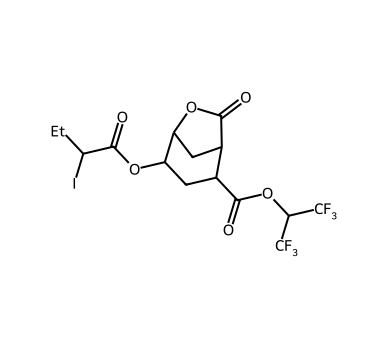 CCC(I)C(=O)OC1CC(C(=O)OC(C(F)(F)F)C(F)(F)F)C2CC1OC2=O